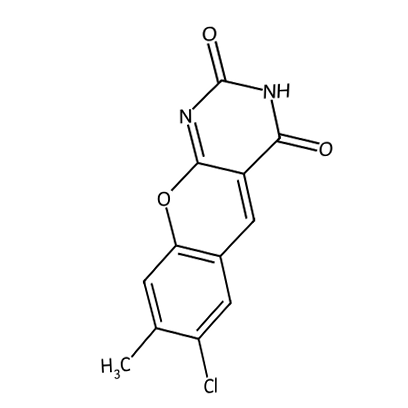 Cc1cc2oc3nc(=O)[nH]c(=O)c-3cc2cc1Cl